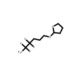 FC(F)(F)C(F)(F)C(F)(F)CCCOC1CCCO1